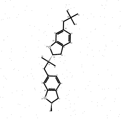 C[C@@H]1Cc2ccc(CC(C)(C)[C@H]3Cc4ccc(CC(C)(C)C)cc4O3)cc2O1